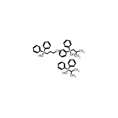 CC(C)C[Si](O)(c1ccccc1)c1ccccc1.CC(C)[Si](O)(c1ccccc1)c1ccccc1.CCCC[Si](O)(c1ccccc1)c1ccccc1